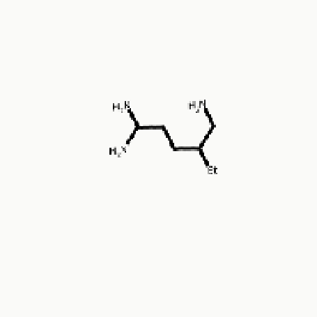 CCC(CN)CCC(N)N